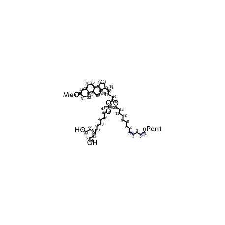 CCCCC/C=C\C/C=C\CCCCCCCCOC(CC[C@@H](C)C1CCC2C3CCC4C[C@H](OC)CC[C@]4(C)C3CC[C@@]21C)OC(C)(C)OCCCCCCN(CCO)CCO